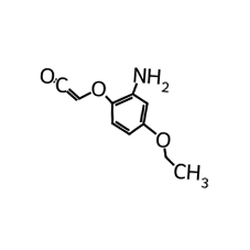 CCOc1ccc(OC=C=O)c(N)c1